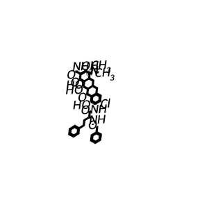 CN(C)[C@@H]1C(O)=C(C(N)=O)C(=O)C2(O)C(O)C3C(=O)c4c(cc(Cl)c(NC(=O)C(CCc5ccccc5)NOCc5ccccc5)c4O)CC3CC12